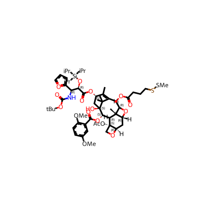 COc1ccc(OC)c(C(=O)O[C@H]2[C@@H]3[C@]4(OC(C)=O)CO[C@@H]4C[C@H]4O[C@@H]([C@H](OC(=O)CCCSSC)C5=C(C)[C@@H](OC(=O)[C@H](O[Si](C(C)C)(C(C)C)C(C)C)[C@@H](NC(=O)OC(C)(C)C)c6ccco6)C[C@]2(O)C5(C)C)[C@@]34C)c1